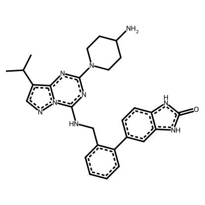 CC(C)c1cnn2c(NCc3ccccc3-c3ccc4[nH]c(=O)[nH]c4c3)nc(N3CCC(N)CC3)nc12